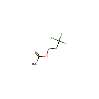 CC(=S)OCCC(F)(F)F